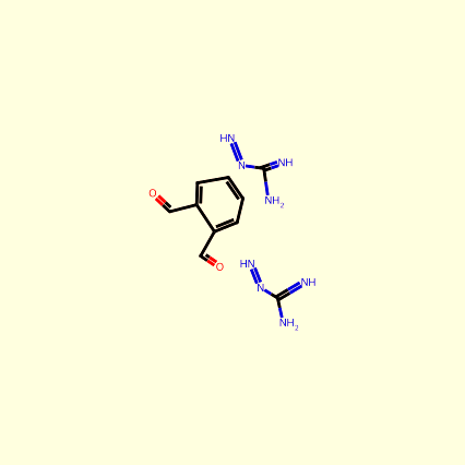 N=NC(=N)N.N=NC(=N)N.O=Cc1ccccc1C=O